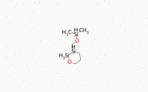 C[SiH](C)OC[SiH]1CCCO[SiH2]1